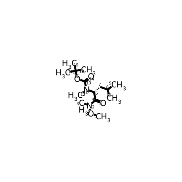 CON(C)C(=O)[C@@H](CC(C)C)N(C)C(=O)OC(C)(C)C